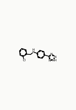 Clc1ccccc1CNc1ccc(-c2nn[nH]n2)cc1